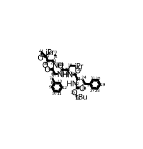 CC(C)C[C@H](NC(=O)[C@@H](Cc1ccccc1)NC(=O)[C@@H](CC(C)C)NC(=O)[C@H](CCc1ccccc1)NC(=O)OC(C)(C)C)C(=O)[C@@]1(C)CO1